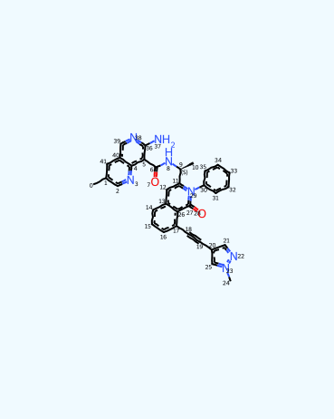 Cc1cnc2c(C(=O)N[C@@H](C)c3cc4cccc(C#Cc5cnn(C)c5)c4c(=O)n3-c3ccccc3)c(N)ncc2c1